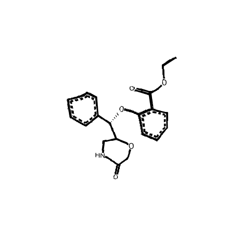 CCOC(=O)c1ccccc1O[C@@H](c1ccccc1)C1CNC(=O)CO1